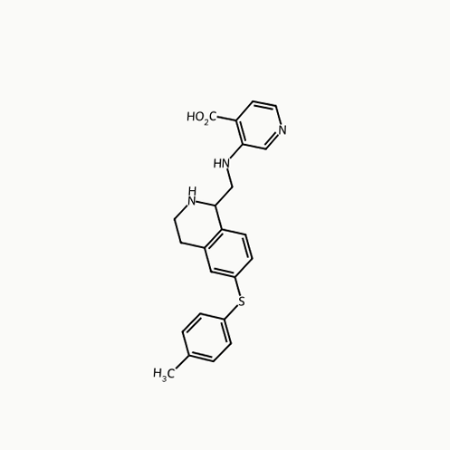 Cc1ccc(Sc2ccc3c(c2)CCNC3CNc2cnccc2C(=O)O)cc1